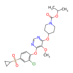 COc1c(Oc2ccc(S(=O)(=O)C3CC3)cc2Cl)ncnc1OC1CCN(C(=O)OC(C)C)CC1